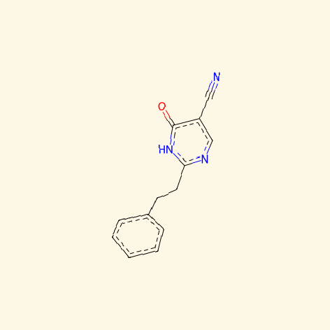 N#Cc1cnc(CCc2ccccc2)[nH]c1=O